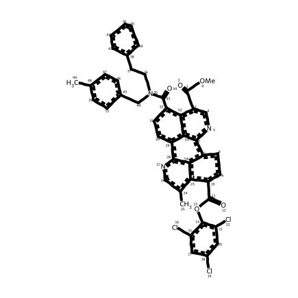 COC(=O)c1cnc2c3ccc(C(=O)Oc4c(Cl)cc(Cl)cc4Cl)c4c(C)cnc(c5ccc(C(=O)N(CCc6ccccc6)Cc6ccc(C)cc6)c1c52)c43